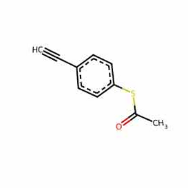 C#Cc1ccc(SC(C)=O)cc1